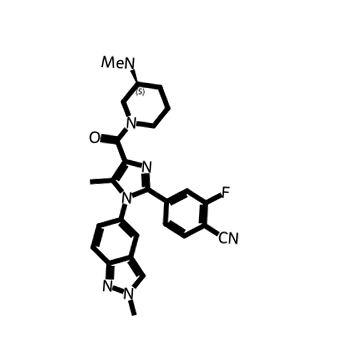 CN[C@H]1CCCN(C(=O)c2nc(-c3ccc(C#N)c(F)c3)n(-c3ccc4nn(C)cc4c3)c2C)C1